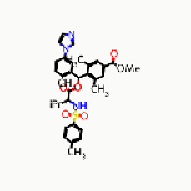 COC(=O)c1cc(C)c(C(OC(=O)C(NS(=O)(=O)c2ccc(C)cc2)C(C)C)c2cc(-n3ccnc3)ccc2C)c(C)c1